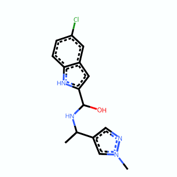 CC(NC(O)c1cc2cc(Cl)ccc2[nH]1)c1cnn(C)c1